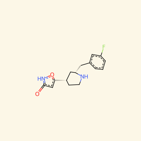 O=c1cc([C@H]2CCN[C@@H](Cc3cccc(F)c3)C2)o[nH]1